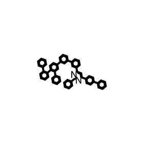 c1ccc(-c2ccc(-c3cc(-c4cccc(-c5cccc(-c6ccc(-c7ccccc7-c7ccccc7)c(-c7ccccc7)c6)c5)c4)nc(-c4ccccc4)n3)cc2)cc1